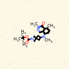 Cc1ccc(N(C)C2CC3(C2)CN(C(=O)OC(C)(C)C)C3)c2cnn(C)c(=O)c12